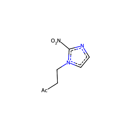 CC(=O)CCn1ccnc1[N+](=O)[O-]